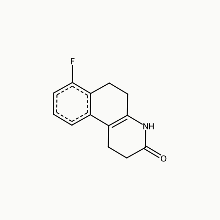 O=C1CCC2=C(CCc3c(F)cccc32)N1